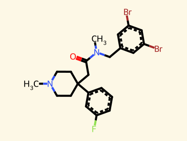 CN1CCC(CC(=O)N(C)Cc2cc(Br)cc(Br)c2)(c2cccc(F)c2)CC1